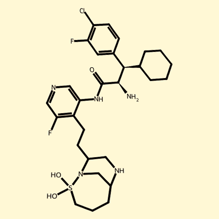 N[C@@H](C(=O)Nc1cncc(F)c1CCC1CNC2CCCS(O)(O)N1C2)[C@@H](c1ccc(Cl)c(F)c1)C1CCCCC1